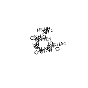 CC(=O)N[C@@H](Cc1ccccc1)C(=O)N[C@H]1CCCNC(=O)[C@H](CCCNC(=N)N)NC(=O)[C@H](Cc2c[nH]c3ccccc23)NC(=O)[C@H]2Cc3ccccc3CN2C(=O)[C@@H]2CCCN2C1=O